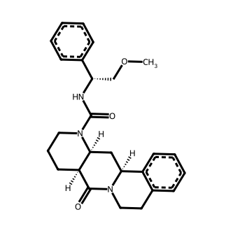 COC[C@H](NC(=O)N1CCC[C@@H]2C(=O)N3CCc4ccccc4[C@@H]3C[C@@H]21)c1ccccc1